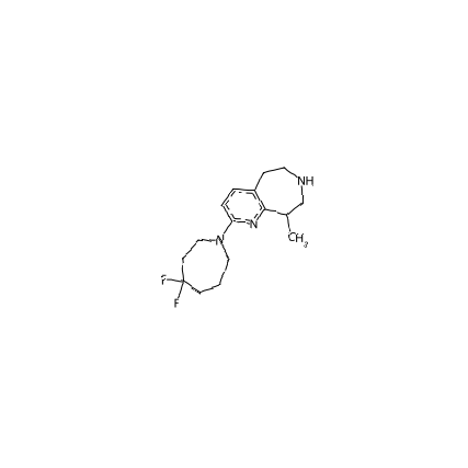 CC1CNCCc2ccc(N3CCCC(F)(F)CC3)nc21